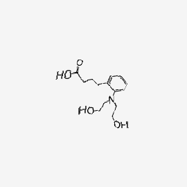 O=C(O)CCCc1ccccc1N(CCO)CCO